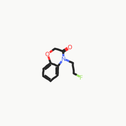 O=C1COc2ccccc2N1CCF